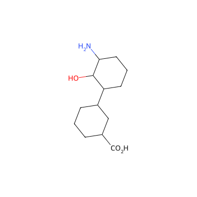 NC1CCCC(C2CCCC(C(=O)O)C2)C1O